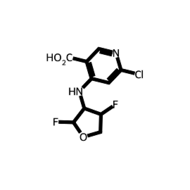 O=C(O)c1cnc(Cl)cc1NC1C(F)COC1F